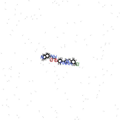 O=C(COc1ccc(C2=CN(Cc3ccc(Cl)cc3)NN2)cc1)Nc1ccc2cnccc2c1